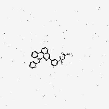 NC(=O)CS(=O)(=O)c1cccc(-c2cc3cccc(-c4ccccc4)c3c(NCc3ccccn3)n2)c1